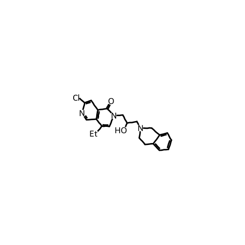 CCc1cn(CC(O)CN2CCc3ccccc3C2)c(=O)c2cc(Cl)ncc12